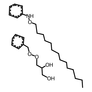 CCCCCCCCCCCCCCONc1ccccc1.OCC(O)COOCc1ccccc1